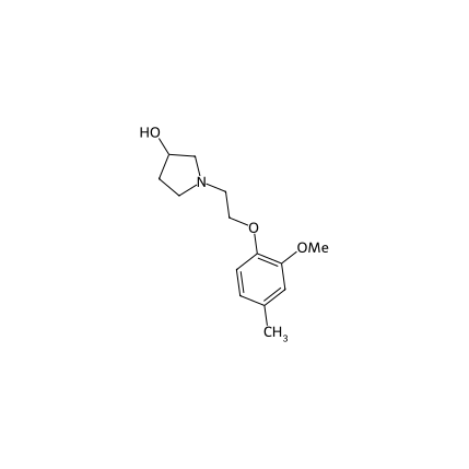 COc1cc(C)ccc1OCCN1CCC(O)C1